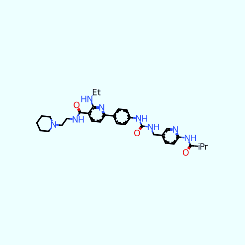 CCNc1nc(-c2ccc(NC(=O)NCc3ccc(NC(=O)C(C)C)nc3)cc2)ccc1C(=O)NCCN1CCCCC1